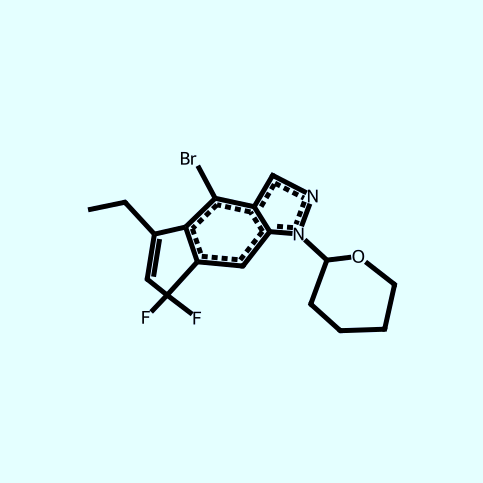 CCC1=CC(F)(F)c2cc3c(cnn3C3CCCCO3)c(Br)c21